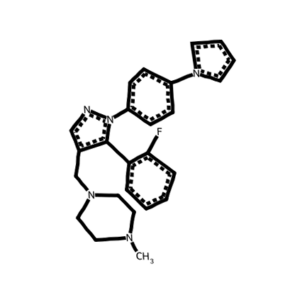 CN1CCN(Cc2cnn(-c3ccc(-n4cccc4)cc3)c2-c2ccccc2F)CC1